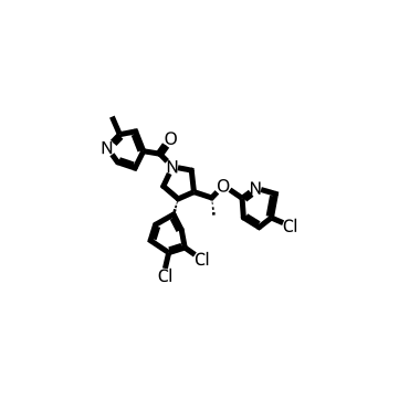 Cc1cc(C(=O)N2CC([C@@H](C)Oc3ccc(Cl)cn3)[C@H](c3ccc(Cl)c(Cl)c3)C2)ccn1